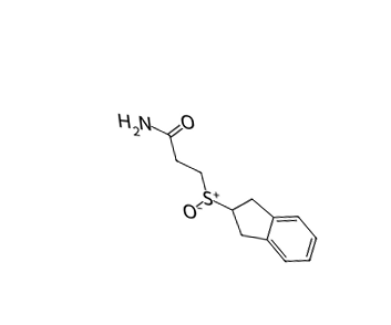 NC(=O)CC[S+]([O-])C1Cc2ccccc2C1